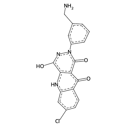 NCc1cccc(-n2nc(O)c3[nH]c4cc(Cl)ccc4c(=O)c3c2=O)c1